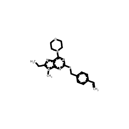 C=Cc1ccc(CSc2nc(N3CCOCC3)c3nc(CC)n(C)c3n2)cc1